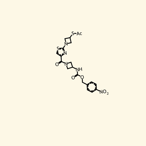 CC(=O)SC1CN(c2nc(C(=O)N3CC(NC(=O)OCc4ccc([N+](=O)[O-])cc4)C3)cs2)C1